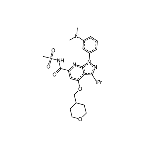 CC(C)c1nn(-c2cccc(N(C)C)c2)c2nc(C(=O)NS(C)(=O)=O)cc(OCC3CCOCC3)c12